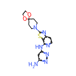 Nc1cc(Nc2nccc3nc(N4CCC5(CC4)OCCO5)sc23)ncn1